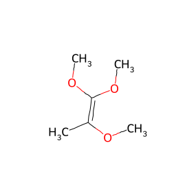 COC(C)=C(OC)OC